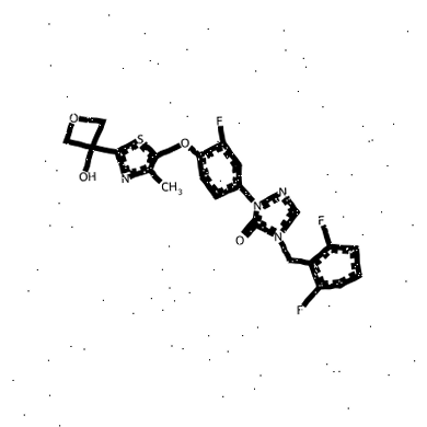 Cc1nc(C2(O)COC2)sc1Oc1ccc(-n2ncn(Cc3c(F)cccc3F)c2=O)cc1F